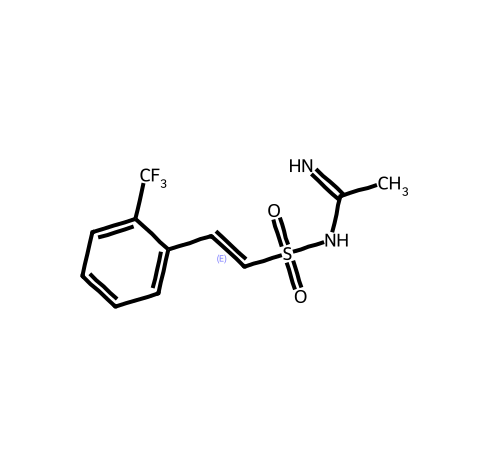 CC(=N)NS(=O)(=O)/C=C/c1ccccc1C(F)(F)F